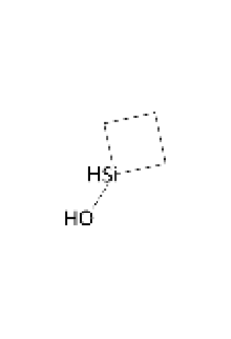 O[SiH]1CCC1